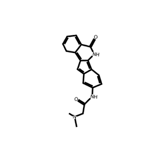 CN(C)CC(=O)Nc1ccc2c(c1)=Cc1c3c(c(=O)[nH]c1=2)=CC=CC3